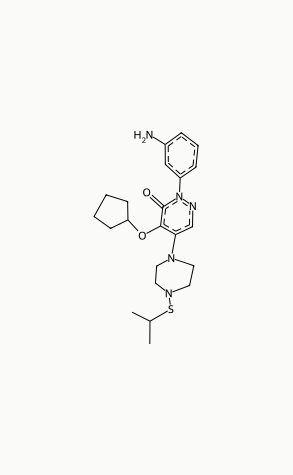 CC(C)SN1CCN(c2cnn(-c3cccc(N)c3)c(=O)c2OC2CCCC2)CC1